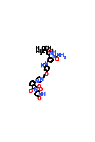 CC(C)(C)c1cc(-c2cc(-n3cnc4cc(OCCN5CCN(c6cccc7c6C(=O)N(C6CCC(=O)NC6=O)C7=O)CC5)ccc43)ccc2NC(N)=O)no1